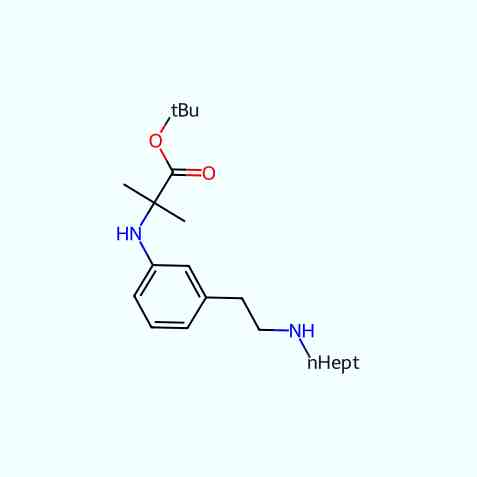 CCCCCCCNCCc1cccc(NC(C)(C)C(=O)OC(C)(C)C)c1